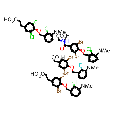 CNc1cccc(COc2c(Br)cc(C(=O)NCC(=O)O)cc2Br)c1Cl.CNc1cccc(COc2c(Br)cc(CC(=O)O)cc2Br)c1F.CNc1cccc(COc2c(Br)cc(CCC(=O)O)cc2Br)c1Cl.CNc1cccc(COc2c(Cl)cc(CCC(=O)O)cc2Cl)c1Cl